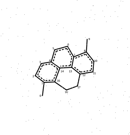 Cc1ccc2ccc3c(C)ccc4c3c2c1CC4